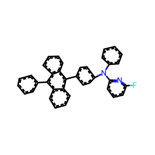 Fc1cccc(N(c2ccccc2)c2ccc(-c3c4ccccc4c(-c4ccccc4)c4ccccc34)cc2)n1